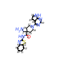 NCC1(C(=O)Nc2nc3ccccc3s2)CCN(c2ncnc3[nH]ccc23)CC1